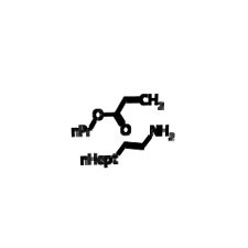 C=CC(=O)OCCC.CCCCCCCC=CN